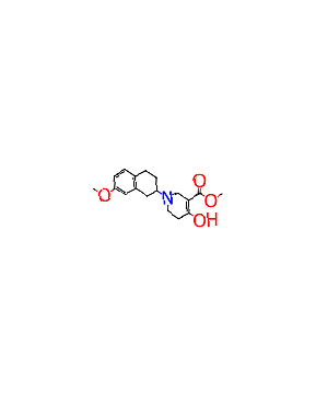 COC(=O)C1=C(O)CCN(C2CCc3ccc(OC)cc3C2)C1